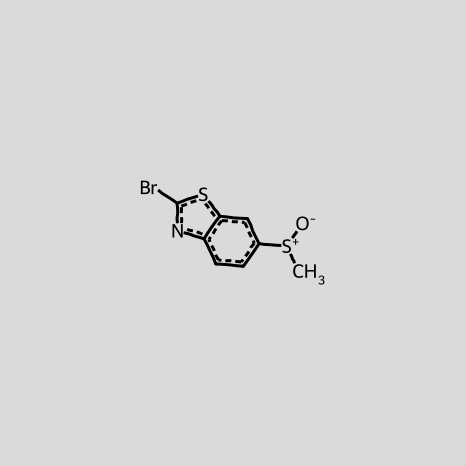 C[S+]([O-])c1ccc2nc(Br)sc2c1